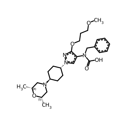 COCCCOc1nn([C@H]2CC[C@H](N3C[C@@H](C)O[C@@H](C)C3)CC2)cc1N(Cc1ccccc1)C(=O)O